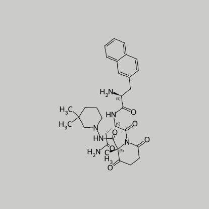 CC1(C)CCCN(NC(=O)[C@@]2(C)C(=O)CCC(=O)N2C(=O)[C@H](CC(N)=O)NC(=O)[C@@H](N)Cc2ccc3ccccc3c2)C1